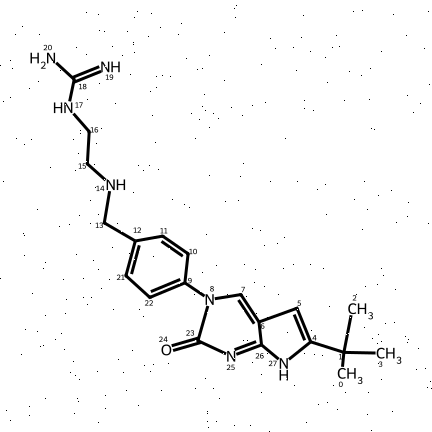 CC(C)(C)c1cc2cn(-c3ccc(CNCCNC(=N)N)cc3)c(=O)nc2[nH]1